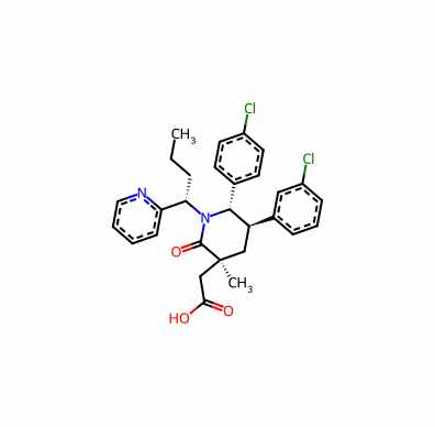 CCC[C@@H](c1ccccn1)N1C(=O)[C@](C)(CC(=O)O)C[C@H](c2cccc(Cl)c2)[C@H]1c1ccc(Cl)cc1